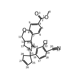 COC(=O)c1ccc2c(c1)OCC1CN(C3(c4ccc(C#N)c(Cl)c4)CC=CC3)N=C21